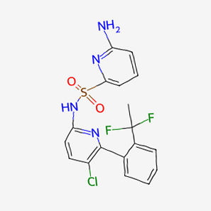 CC(F)(F)c1ccccc1-c1nc(NS(=O)(=O)c2cccc(N)n2)ccc1Cl